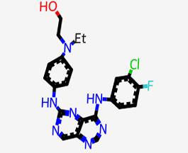 CCN(CCO)c1ccc(Nc2ncc3ncnc(Nc4ccc(F)c(Cl)c4)c3n2)cc1